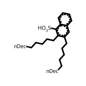 CCCCCCCCCCCCCCCc1cc2ccccc2c(S(=O)(=O)O)c1CCCCCCCCCCCCCCC